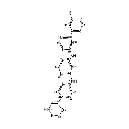 Cc1cccc(-c2nccc(Nc3ccnc(Nc4ccc(C5CNCCO5)cc4)n3)n2)n1